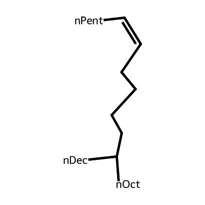 CCCCC/C=C\CCCCC(CCCCCCCC)CCCCCCCCCC